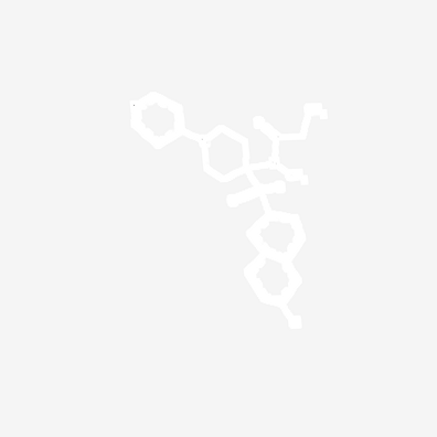 CCC(=O)N(C)C1(S(=O)(=O)c2ccc3cc(Cl)ccc3c2)CCN(c2ccncc2)CC1